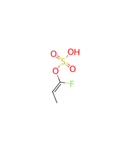 CC=C(F)OS(=O)(=O)O